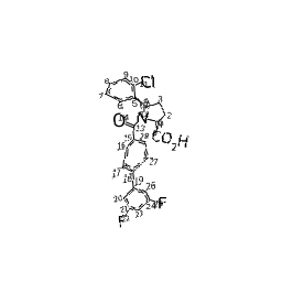 O=C(O)[C@@H]1CC[C@H](c2ccccc2Cl)N1C(=O)c1ccc(-c2cc(F)cc(F)c2)cc1